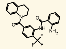 Nc1ccccc1C(=O)Nc1cc(C(=O)N2CCCc3ccccc32)ccc1C(F)(F)F